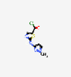 Cn1ccc(Nc2ncc(C(=O)Cl)s2)n1